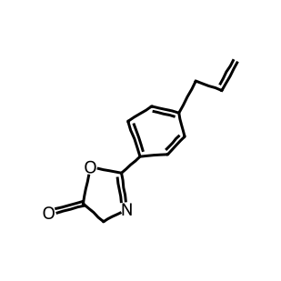 C=CCc1ccc(C2=NCC(=O)O2)cc1